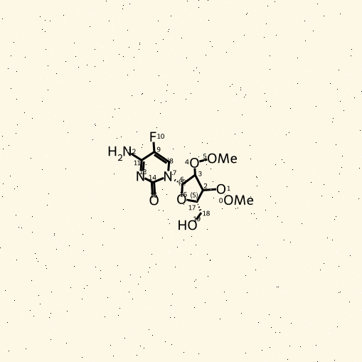 COOC1C(OOC)[C@@H](n2cc(F)c(N)nc2=O)O[C@H]1CO